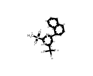 CS(=O)(=O)c1nc(-c2cccc3ccccc23)cc(C(F)(F)F)n1